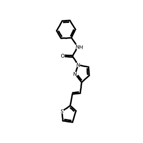 O=C(Nc1ccccc1)n1ccc(C=Cc2cccs2)n1